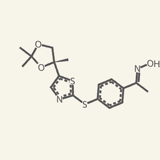 CC(=NO)c1ccc(Sc2ncc([C@@]3(C)COC(C)(C)O3)s2)cc1